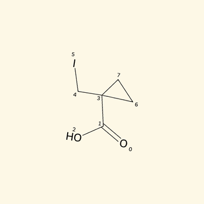 O=C(O)C1(CI)CC1